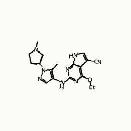 CCOc1nc(Nc2cnn([C@@H]3CCN(C)C3)c2C)nc2[nH]cc(C#N)c12